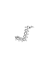 [Ce+3].[Cl-].[Cl-].[Cl-].[Cl-].[Cl-].[Cl-].[Y+3]